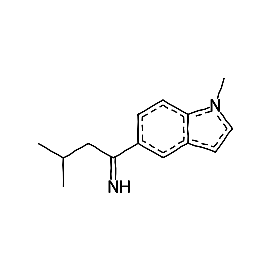 CC(C)CC(=N)c1ccc2c(ccn2C)c1